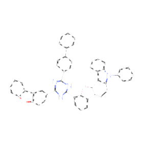 C1=CC2c3cccc(-c4nc(-c5ccc(-c6ccccc6)cc5)nc(-c5ccc6oc7ccccc7c6c5)n4)c3OC2c2c1n(-c1ccccc1)c1ccccc21